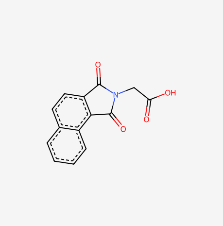 O=C(O)CN1C(=O)c2ccc3ccccc3c2C1=O